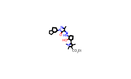 CCOC(=O)c1c(C)c(-c2cccc(NN=C3C(=O)N(c4ccc5c(c4)CCC5)N=C3C)c2O)n(C)c1C